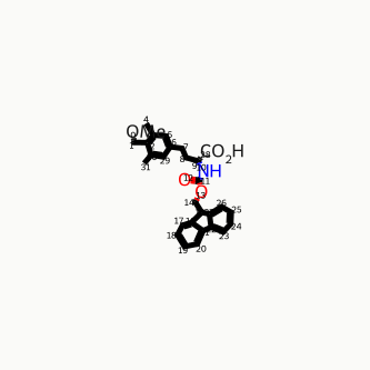 COCc1c(C)cc(CCC(NC(=O)OCC2c3ccccc3-c3ccccc32)C(=O)O)cc1C